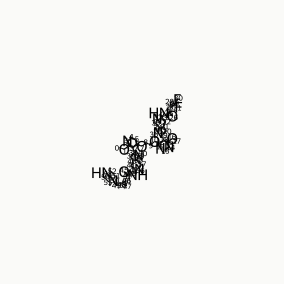 COc1nccc(OCCOc2ncnc(OC)c2-c2cc3cc(NC(=O)[C@H]4CC4(F)F)ncc3n2C)c1-c1cc2cc(NC(=O)[C@H]3C[C@@H]3CN3CCNCC3)ncc2n1C